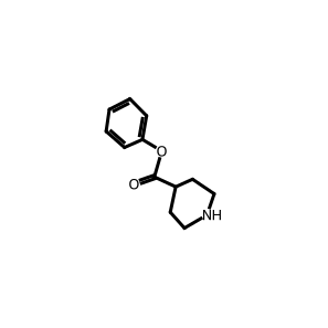 O=C(Oc1ccccc1)C1CCNCC1